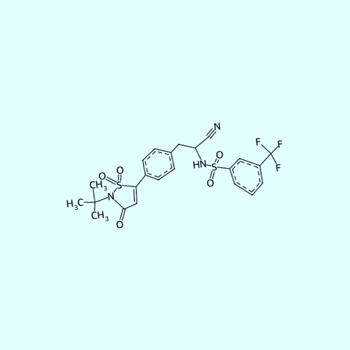 CC(C)(C)N1C(=O)C=C(c2ccc(CC(C#N)NS(=O)(=O)c3cccc(C(F)(F)F)c3)cc2)S1(=O)=O